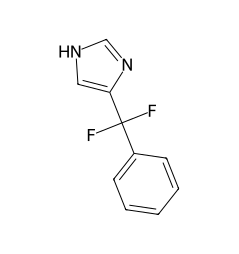 FC(F)(c1ccccc1)c1c[nH]cn1